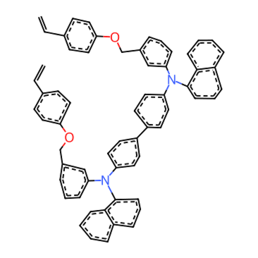 C=Cc1ccc(OCc2cccc(N(c3ccc(-c4ccc(N(c5cccc(COc6ccc(C=C)cc6)c5)c5cccc6ccccc56)cc4)cc3)c3cccc4ccccc34)c2)cc1